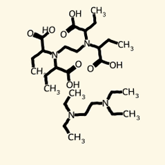 CCC(C(=O)O)N(CCN(C(CC)C(=O)O)C(CC)C(=O)O)C(CC)C(=O)O.CCN(CC)CCN(CC)CC